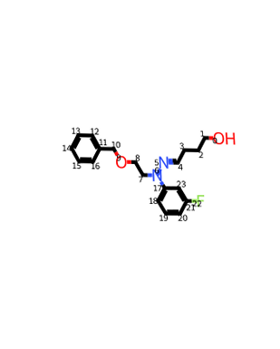 OCCCC=NN(CCOCc1ccccc1)c1cccc(F)c1